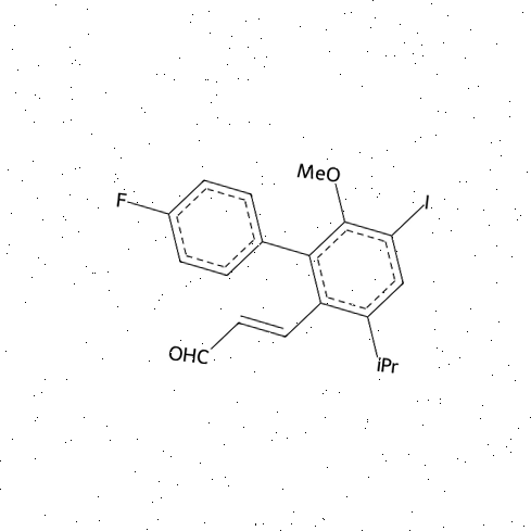 COc1c(I)cc(C(C)C)c(C=CC=O)c1-c1ccc(F)cc1